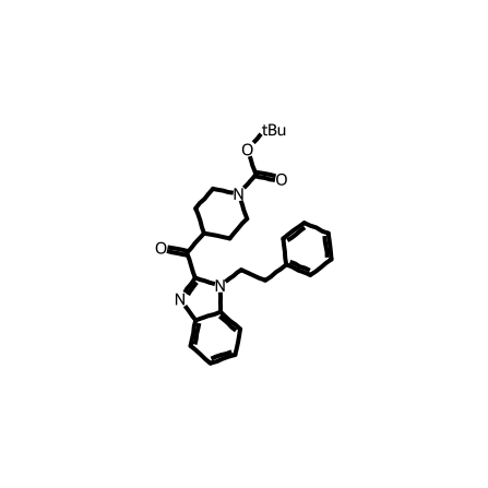 CC(C)(C)OC(=O)N1CCC(C(=O)c2nc3ccccc3n2CCc2ccccc2)CC1